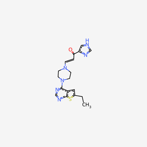 CCc1cc2c(N3CCN(C=CC(=O)c4c[nH]cn4)CC3)ncnc2s1